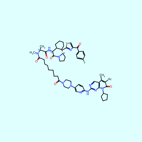 CC(=O)c1c(C)c2cnc(Nc3ccc(N4CCN(C(=O)CCCCCCCC(=O)N(C)[C@@H](C)C(=O)N[C@H](C(=O)N5CCC[C@H]5Cc5nc(C(=O)c6ccc(F)cc6)cs5)C5CCCCC5)CC4)cn3)nc2n(C2CCCC2)c1=O